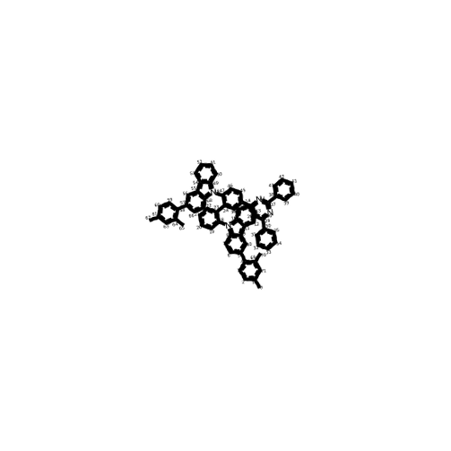 Cc1ccc(-c2ccc3c(c2)c2ccccc2n3-c2ccccc2-c2cc(-c3cc(-c4ccccc4)nc(-c4ccccc4)n3)ccc2-n2c3ccccc3c3cc(-c4ccc(C)cc4C)ccc32)c(C)c1